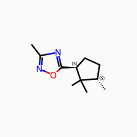 Cc1noc([C@H]2CC[C@H](C)C2(C)C)n1